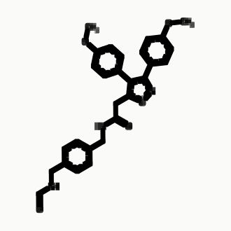 COc1ccc(-c2noc(CC(=O)NCc3ccc(CNC=O)cc3)c2-c2ccc(OC)cc2)cc1